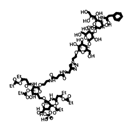 CCC(=O)OC1[C@H](OP(=O)(O)O)C(CO)O[C@@H](OCC2O[C@@H](OCCNC(=O)CCC(=O)NCc3cn(CCO[C@@H]4OC(CO)[C@@H](O[C@@H]5OC(CO)[C@H](O)C(O[C@]6(C(=O)O)C[C@@H](O)[C@@H](NC(=O)Cc7ccccc7)C([C@H](O)[C@H](O)CO)O6)[C@@H]5O)C(O)[C@@H]4O)nn3)C(NC(=O)C[C@@H](CC)OC(=O)CC)[C@@H](OC(=O)CC)[C@@H]2O)[C@H]1NC(=O)C[C@@H](CC)OC(=O)CC